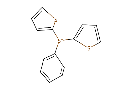 c1ccc([S+](c2cccs2)c2cccs2)cc1